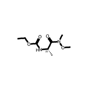 CCOC(=O)N[C@@H](C)C(=O)N(C)OC